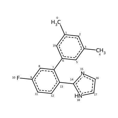 Cc1cc(C)cc(-c2cc(F)ccc2-c2ncc[nH]2)c1